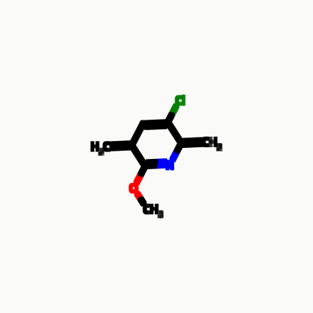 C=c1cc(Cl)c(=C)nc1OC